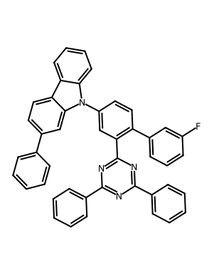 Fc1cccc(-c2ccc(-n3c4ccccc4c4ccc(-c5ccccc5)cc43)cc2-c2nc(-c3ccccc3)nc(-c3ccccc3)n2)c1